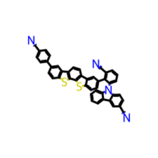 N#Cc1ccc(-c2ccc3sc4c(ccc5c6cc(-c7c(C#N)cccc7-n7c8ccccc8c8cc(C#N)ccc87)ccc6sc54)c3c2)cc1